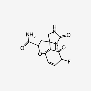 NC(=O)C1CC2(CNC(=O)N2)C2=C(C=CC(F)C2=O)O1